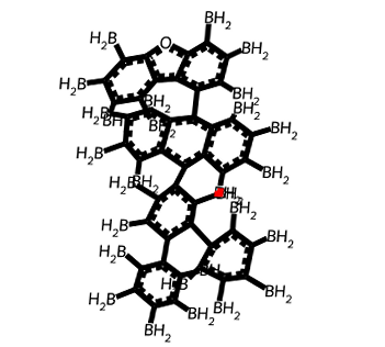 Bc1c(B)c(B)c(-c2c(B)c(B)c(-c3c4c(B)c(B)c(B)c(B)c4c(-c4c(B)c(B)c(B)c5oc6c(B)c(B)c(B)c(B)c6c45)c4c(B)c(B)c(B)c(B)c34)c(B)c2-c2c(B)c(B)c(B)c(B)c2B)c(B)c1B